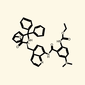 CCOC(=O)Nc1ccc(N(C)C)cc1C(=O)Nc1ccc(C[C@H](NC(c2ccccc2)(c2ccccc2)c2ccccc2)C(=O)OC)c2cccnc12